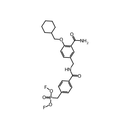 NC(=O)c1cc(CNC(=O)c2ccc(CP(=O)(OF)OF)cc2)ccc1OCC1CCCCC1